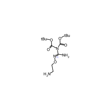 CC(C)(C)OC(=O)N(C(=O)OC(C)(C)C)/C(N)=N/OCCN